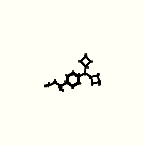 CCCO[SiH2]c1ccc(C(C2COC2)C2COC2)cc1